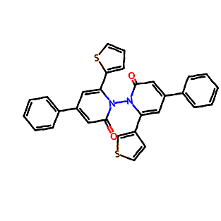 O=c1cc(-c2ccccc2)cc(-c2ccsc2)n1-n1c(-c2cccs2)cc(-c2ccccc2)cc1=O